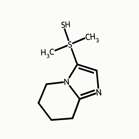 CS(C)(S)c1cnc2n1CCCC2